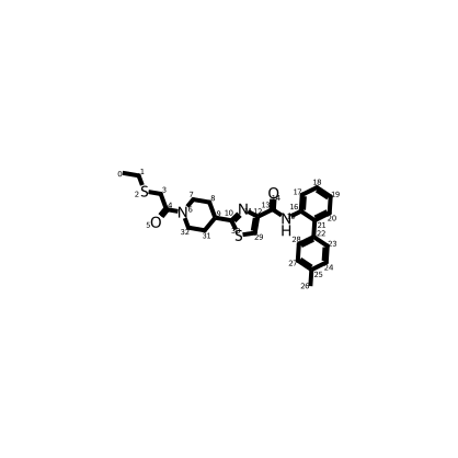 CCSCC(=O)N1CCC(c2nc(C(=O)Nc3ccccc3-c3ccc(C)cc3)cs2)CC1